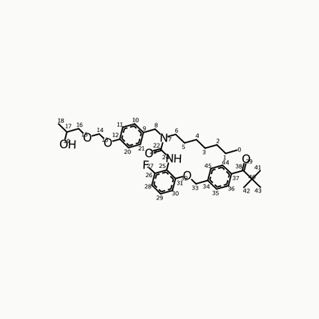 CCCCCCCN(Cc1ccc(OCOCC(C)O)cc1)C(=O)Nc1c(F)cccc1OCc1ccc(C(=O)C(C)(C)C)cc1